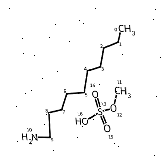 CCCCCCCCCCN.COS(=O)(=O)O